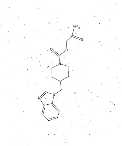 NC(=O)COC(=O)N1CCC(Cn2cnc3ccccc32)CC1